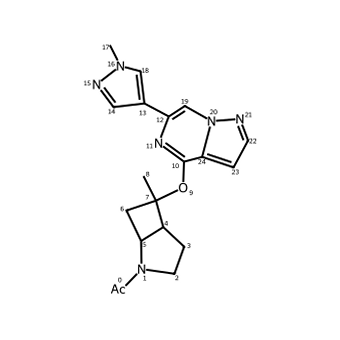 CC(=O)N1CCC2C1CC2(C)Oc1nc(-c2cnn(C)c2)cn2nccc12